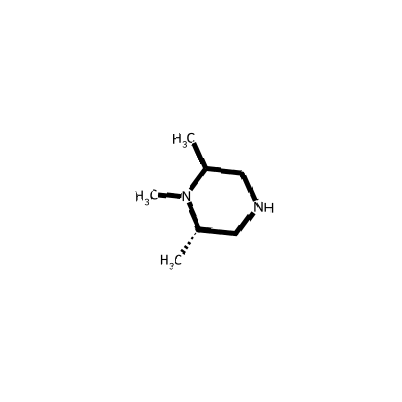 CC1CNC[C@H](C)N1C